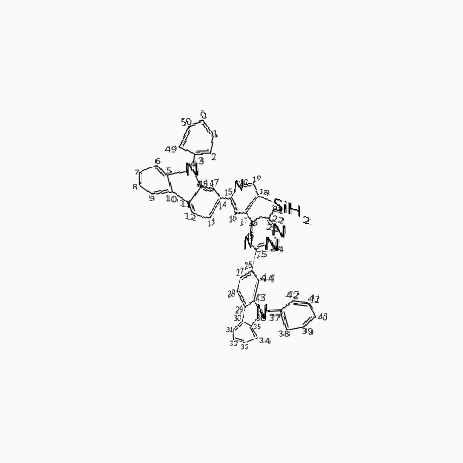 c1ccc(-n2c3ccccc3c3ccc(-c4cc5c(cn4)[SiH2]c4nnc(-c6ccc7c8ccccc8n(-c8ccccc8)c7c6)nc4-5)cc32)cc1